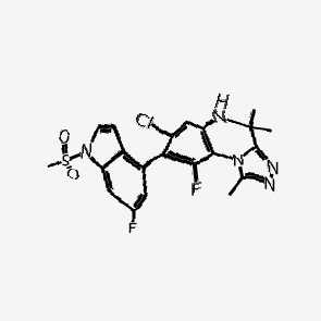 Cc1nnc2n1-c1c(cc(Cl)c(-c3cc(F)cc4c3ccn4S(C)(=O)=O)c1F)NC2(C)C